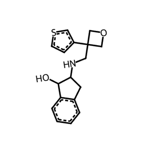 OC1c2ccccc2CC1NCC1(c2ccsc2)COC1